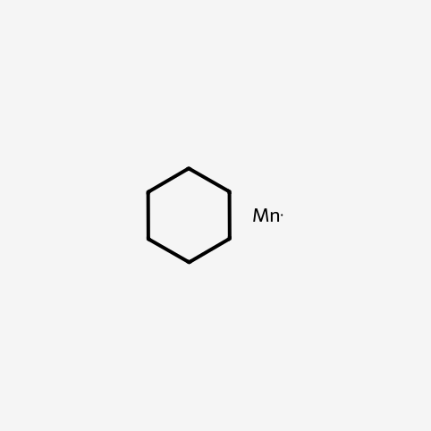 C1CCCCC1.[Mn]